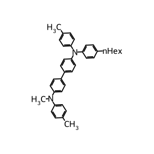 CCCCCCc1ccc(N(c2ccc(C)cc2)c2ccc(-c3ccc(N(C)c4ccc(C)cc4)cc3)cc2)cc1